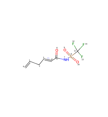 C=CC/C=C/C(=O)NS(=O)(=O)C(F)(F)F